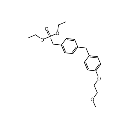 CCOP(=O)(Cc1ccc(Cc2ccc(OCCOC)cc2)cc1)OCC